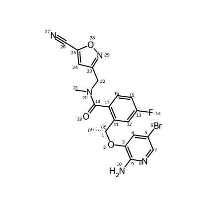 C[C@@H](Oc1cc(Br)cnc1N)c1cc(F)ccc1C(=O)N(C)Cc1cc(C#N)on1